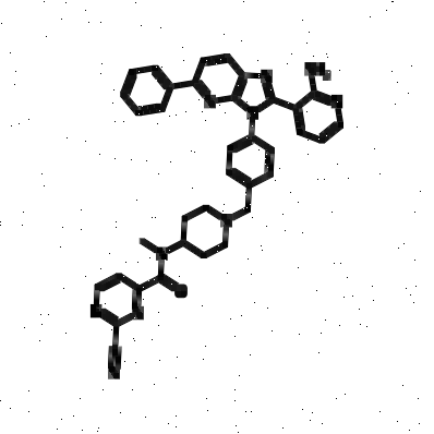 CN(C(=O)c1ccnc(C#N)n1)C1CCN(Cc2ccc(-n3c(-c4cccnc4N)nc4ccc(-c5ccccc5)nc43)cc2)CC1